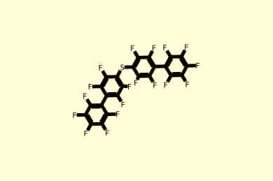 Fc1c(F)c(F)c(-c2c(F)c(F)c(Sc3c(F)c(F)c(-c4c(F)c(F)c(F)c(F)c4F)c(F)c3F)c(F)c2F)c(F)c1F